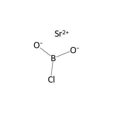 [O-]B([O-])Cl.[Sr+2]